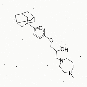 CN1CCCN(CC(O)COc2ccc(C34CC5CC(CC(C5)C3)C4)cc2)CC1